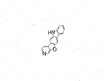 c1ccc2c(c1)[nH]c1cc3c(cc12)oc1cnccc13